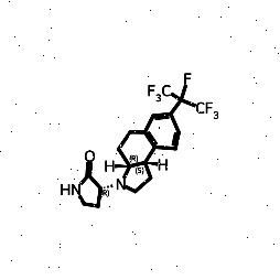 O=C1NCC[C@H]1N1CC[C@H]2c3ccc(C(F)(C(F)(F)F)C(F)(F)F)cc3CC[C@H]21